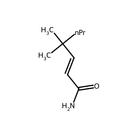 CCCC(C)(C)C=CC(N)=O